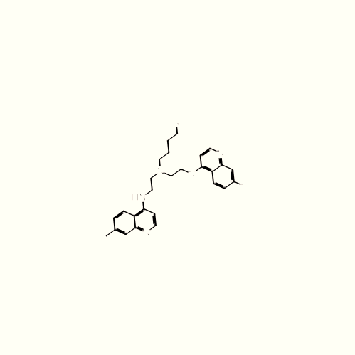 Cc1ccc2c(NCCN(CCCCN)CCNc3ccnc4cc(Cl)ccc34)ccnc2c1